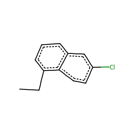 CCc1cccc2cc(Cl)ccc12